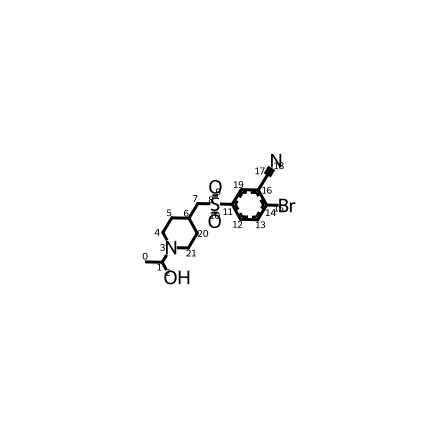 CC(O)N1CCC(CS(=O)(=O)c2ccc(Br)c(C#N)c2)CC1